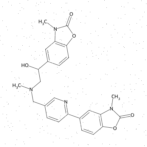 CN(Cc1ccc(-c2ccc3oc(=O)n(C)c3c2)nc1)CC(O)c1ccc2oc(=O)n(C)c2c1